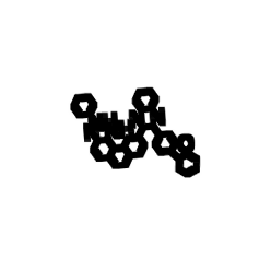 N=C1/C(=N\Nc2ccccc2)C=Cc2ccc3ccc(-c4nc5ccccc5nc4-c4ccc5c(c4)oc4ccccc45)cc3c21